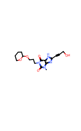 Cn1c(=O)n(CCCOC2CCCCO2)c(=O)c2[nH]c(C#CCO)nc21